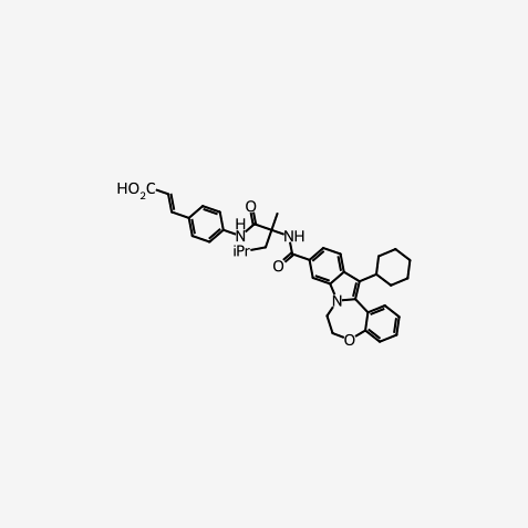 CC(C)CC(C)(NC(=O)c1ccc2c(C3CCCCC3)c3n(c2c1)CCOc1ccccc1-3)C(=O)Nc1ccc(C=CC(=O)O)cc1